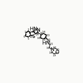 c1ccc2c(c1)sc1c(-c3ccc(CNCCN4CCOCC4)cc3)n[nH]c12